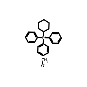 C[O-].c1ccc([P+](c2ccccc2)(c2ccccc2)C2CCCCC2)cc1